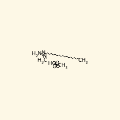 CCCCCCCCCCCCCCCCCCC1=NC(N)CN1CC.COS(=O)(=O)O